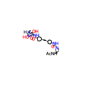 CC(=O)N[C@@H]1CCN(CC(=O)Nc2ccc(C#Cc3ccc(C(=O)N[C@H](C(=O)NO)[C@@H](C)O)cc3)cc2)C1